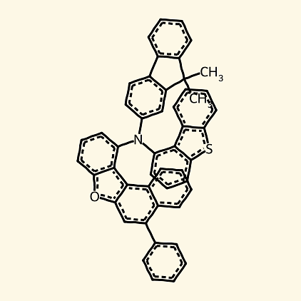 CC1(C)c2ccccc2-c2ccc(N(c3cccc4sc5ccccc5c34)c3cccc4oc5cc(-c6ccccc6)c6ccccc6c5c34)cc21